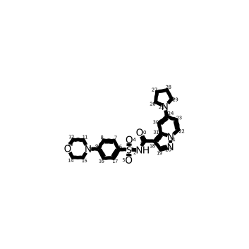 O=C(NS(=O)(=O)c1ccc(N2CCOCC2)cc1)c1cnn2ccc(N3CCCC3)cc12